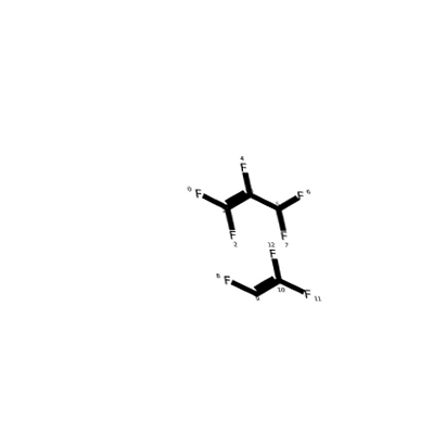 FC(F)=C(F)C(F)F.FC=C(F)F